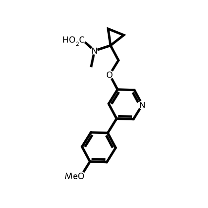 COc1ccc(-c2cncc(OCC3(N(C)C(=O)O)CC3)c2)cc1